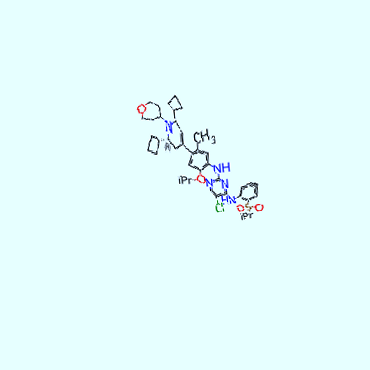 Cc1cc(Nc2ncc(Cl)c(Nc3ccccc3S(=O)(=O)C(C)C)n2)c(OC(C)C)cc1C1=CC(C2CCC2)N(C2CCOCC2)[C@@H](C2CCC2)C1